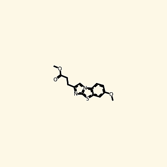 COC(=O)CCc1cn2c(n1)sc1cc(OC)ccc12